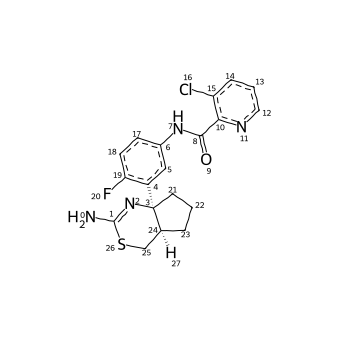 NC1=N[C@@]2(c3cc(NC(=O)c4ncccc4Cl)ccc3F)CCC[C@H]2CS1